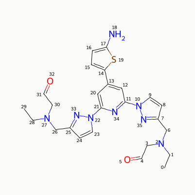 CCN(CC=O)Cc1ccn(-c2cc(-c3ccc(N)s3)cc(-n3ccc(CN(CC)CC=O)n3)n2)n1